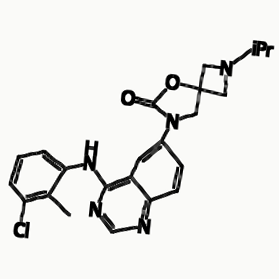 Cc1c(Cl)cccc1Nc1ncnc2ccc(N3CC4(CN(C(C)C)C4)OC3=O)cc12